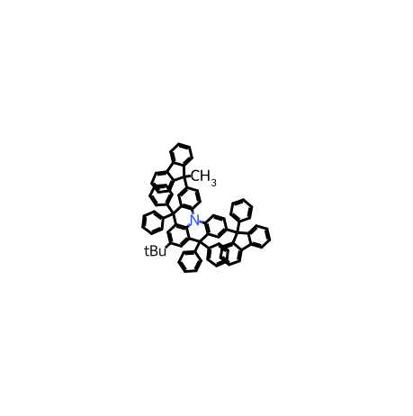 CC(C)(C)c1cc2c3c(c1)C(c1ccccc1)(c1ccccc1)c1cc(C4(c5ccccc5)c5ccccc5-c5ccccc54)ccc1N3c1ccc(C3(C)c4ccccc4-c4ccccc43)cc1C2(c1ccccc1)c1ccccc1